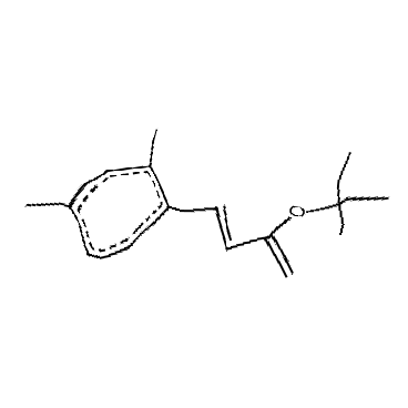 C=C(/C=C/c1ccc(C)cc1C)OC(C)(C)C